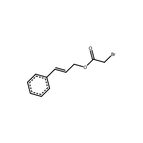 O=C(CBr)OC/C=C/c1ccccc1